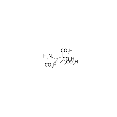 CC(=O)O.CC(=O)O.N[C@@H](CC(=O)O)C(=O)O